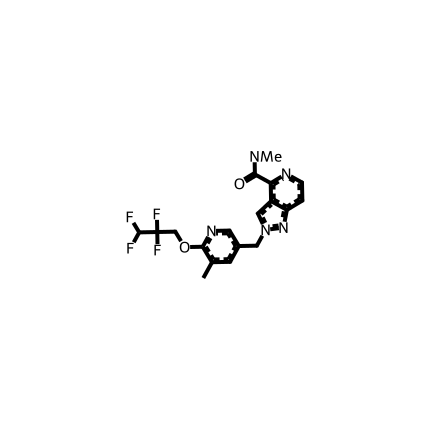 CNC(=O)c1nccc2nn(Cc3cnc(OCC(F)(F)C(F)F)c(C)c3)cc12